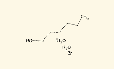 CCCCCCO.O.O.[Zr]